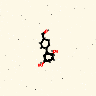 O=CC1CCC(c2cc(O)ccc2O)CC1